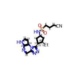 CC[C@@H]1C[C@H](NS(=O)(=O)CCCC#N)C[C@@H]1c1nnc2cnc3[nH]ccc3n12